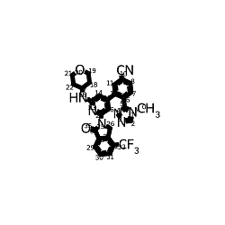 Cn1cnnc1-c1ccc(C#N)cc1-c1cc(NC2CCOCC2)nc(N2Cc3c(cccc3C(F)(F)F)C2=O)c1